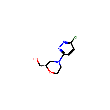 OC[C@@H]1CN(c2ccc(Cl)nn2)CCO1